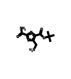 CC(C)(C)OC(=O)c1nc(C(N)=O)sc1CN